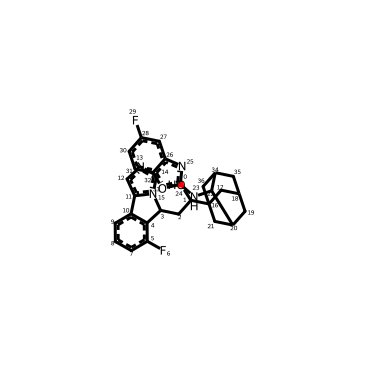 OC(CC1c2c(F)cccc2-c2cncn21)C12CC3CC(C1)C(Nc1nc4cc(F)ccc4o1)C(C3)C2